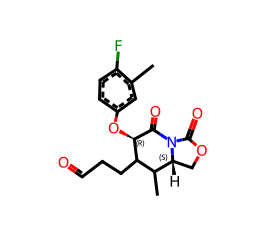 Cc1cc(O[C@H]2C(=O)N3C(=O)OC[C@@H]3C(C)C2CCC=O)ccc1F